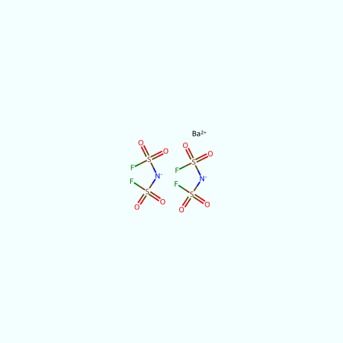 O=S(=O)(F)[N-]S(=O)(=O)F.O=S(=O)(F)[N-]S(=O)(=O)F.[Ba+2]